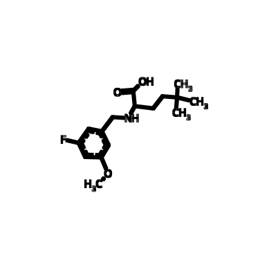 COc1cc(F)cc(CNC(CCC(C)(C)C)C(=O)O)c1